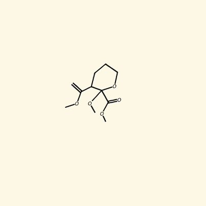 C=C(OC)C1CCCOC1(OC)C(=O)OC